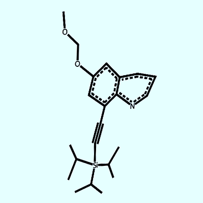 COCOc1cc(C#C[Si](C(C)C)(C(C)C)C(C)C)c2ncccc2c1